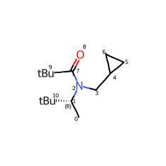 C[C@@H](N(CC1CC1)C(=O)C(C)(C)C)C(C)(C)C